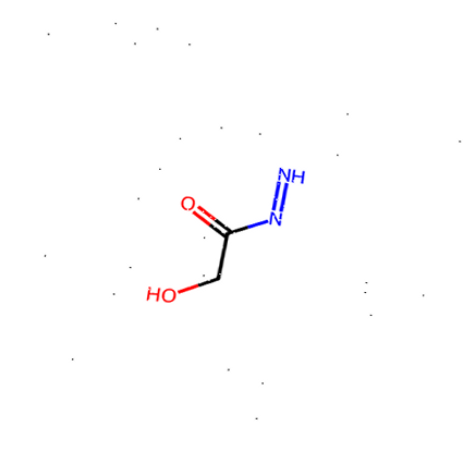 N=NC(=O)CO